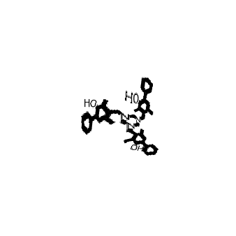 Cc1cc(-c2ccccc2)c(O)c(C)c1CN1CN(Cc2c(C)cc(-c3ccccc3)c(O)c2C)CN(Cc2c(C)cc(-c3ccccc3)c(O)c2C)C1